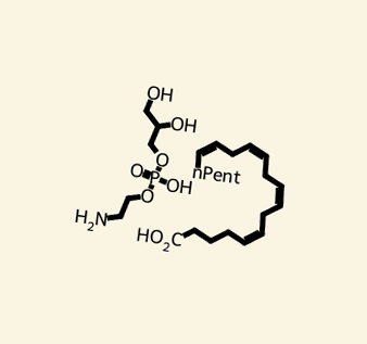 CCCCC/C=C\C/C=C\C/C=C\C/C=C\CCCC(=O)O.NCCOP(=O)(O)OCC(O)CO